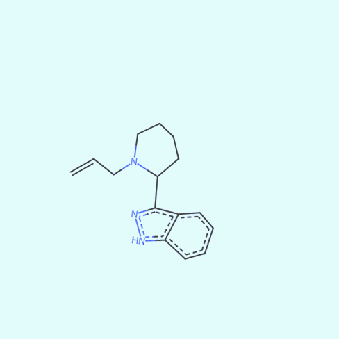 C=CCN1CCCCC1c1n[nH]c2ccccc12